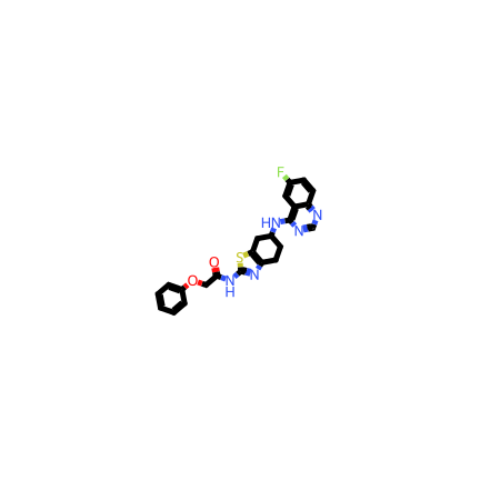 O=C(COc1ccccc1)Nc1nc2c(s1)CC(Nc1ncnc3ccc(F)cc13)CC2